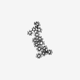 c1ccc(-c2ccc3c(c2)c2c(-c4cccc(-c5cccc6c5-c5ccccc5C65c6ccccc6-c6c(-c7cccc(-c8cccc9c8c8cc(-c%10ccccc%10)ccc8n9-c8ccccc8)c7)cccc65)c4)cccc2n3-c2ccccc2)cc1